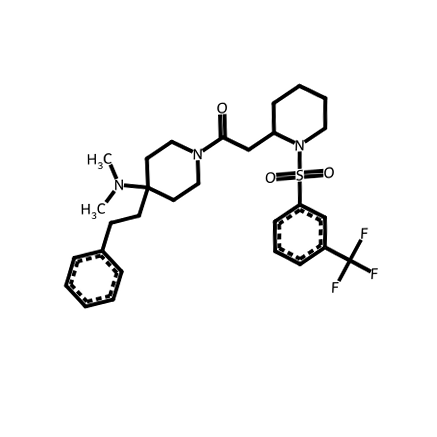 CN(C)C1(CCc2ccccc2)CCN(C(=O)CC2CCCCN2S(=O)(=O)c2cccc(C(F)(F)F)c2)CC1